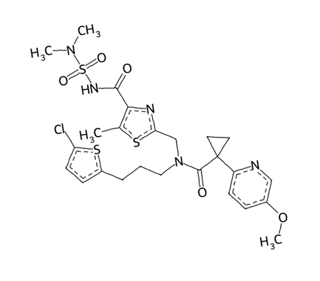 COc1ccc(C2(C(=O)N(CCCc3ccc(Cl)s3)Cc3nc(C(=O)NS(=O)(=O)N(C)C)c(C)s3)CC2)nc1